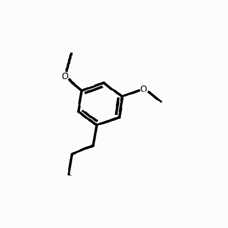 [CH2]CCc1cc(OC)cc(OC)c1